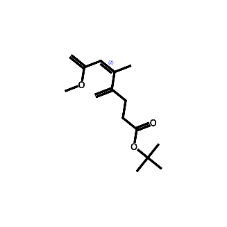 C=C(/C=C(/C)C(=C)CCC(=O)OC(C)(C)C)OC